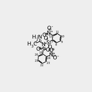 CC(N)N(S(=O)(=O)c1ccccc1[N+](=O)[O-])S(=O)(=O)c1ccccc1[N+](=O)[O-]